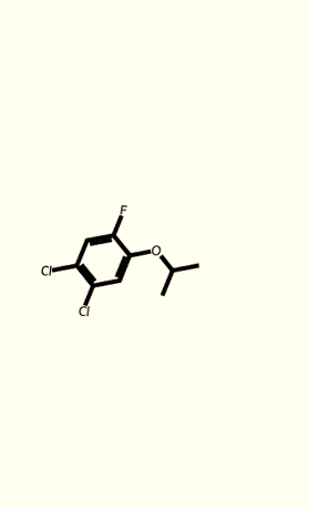 CC(C)Oc1cc(Cl)c(Cl)cc1F